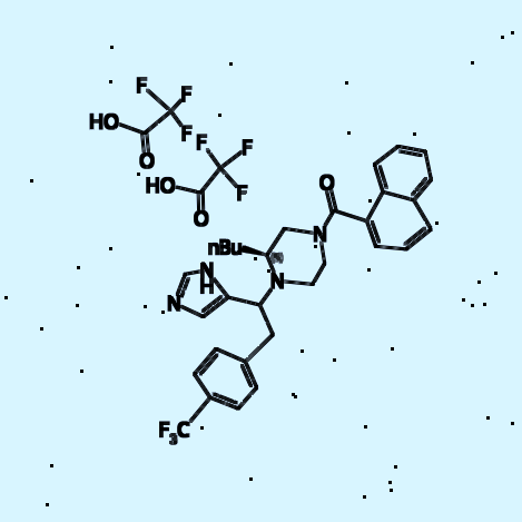 CCCC[C@H]1CN(C(=O)c2cccc3ccccc23)CCN1C(Cc1ccc(C(F)(F)F)cc1)c1cnc[nH]1.O=C(O)C(F)(F)F.O=C(O)C(F)(F)F